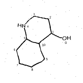 OC1CCNC2CCCCC12